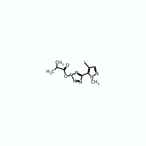 CC(C)C(=O)On1nnc(-c2c(I)cnn2C)n1